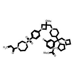 C=CC(=O)N1CCCN(S(=O)(=O)c2ccc(N3CC(CN4CCC(C(CN5CCC5)(c5cccc(F)c5)[C@H]5CCC[C@@H]5NC(=O)OC)CC4)(OC)C3)cc2)CC1